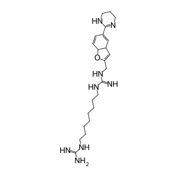 N=C(N)NCCCCCCCCNC(=N)NCC1=CC2C=C(C3=NCCCN3)C=CC2O1